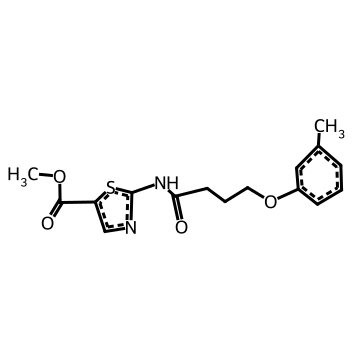 COC(=O)c1cnc(NC(=O)CCCOc2cccc(C)c2)s1